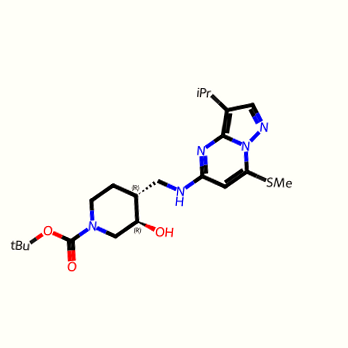 CSc1cc(NC[C@H]2CCN(C(=O)OC(C)(C)C)C[C@@H]2O)nc2c(C(C)C)cnn12